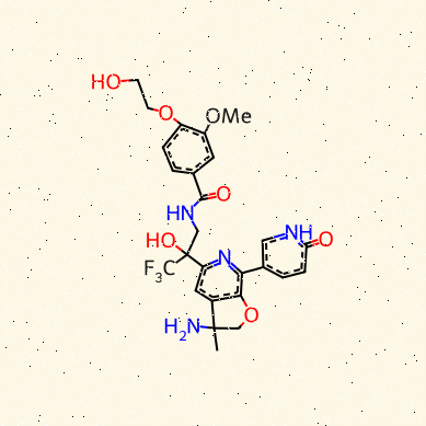 COc1cc(C(=O)NCC(O)(c2cc3c(c(-c4ccc(=O)[nH]c4)n2)OCC3(C)N)C(F)(F)F)ccc1OCCO